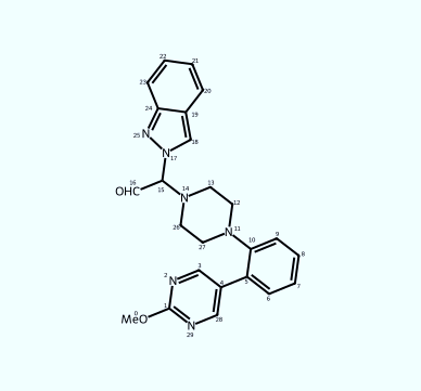 COc1ncc(-c2ccccc2N2CCN(C(C=O)n3cc4ccccc4n3)CC2)cn1